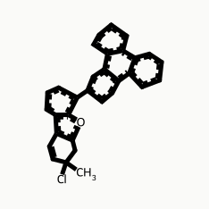 CC1(Cl)C=Cc2c(oc3c(-c4ccc5c6ccccc6c6ccccc6c5c4)cccc23)C1